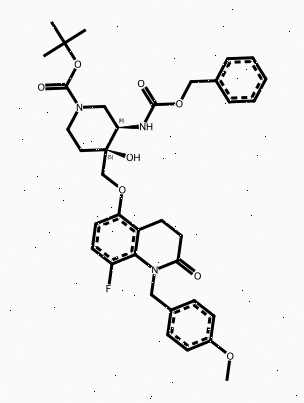 COc1ccc(CN2C(=O)CCc3c(OC[C@]4(O)CCN(C(=O)OC(C)(C)C)C[C@H]4NC(=O)OCc4ccccc4)ccc(F)c32)cc1